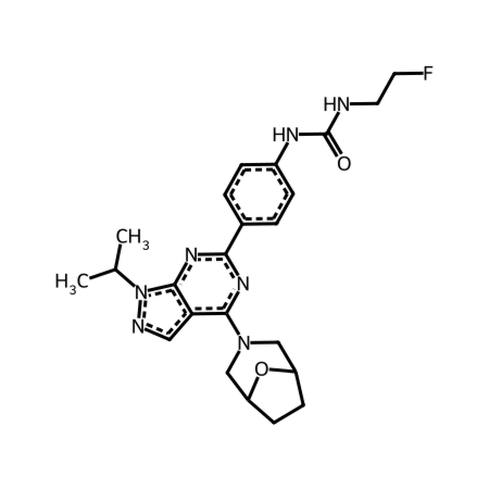 CC(C)n1ncc2c(N3CC4CCC(C3)O4)nc(-c3ccc(NC(=O)NCCF)cc3)nc21